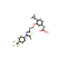 Cc1sc(CCOc2cc(CC(=O)O)ccc2C2CC2)nc1-c1ccc(C(F)(F)F)cc1